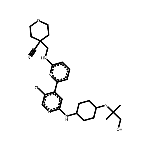 CC(C)(CO)NC1CCC(Nc2cc(-c3cccc(NCC4(C#N)CCOCC4)n3)c(Cl)cn2)CC1